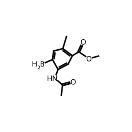 Bc1cc(C)c(C(=O)OC)cc1NC(C)=O